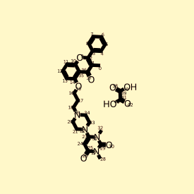 Cc1c(-c2ccccc2)oc2cccc(OCCCN3CCN(c4cc(=O)n(C)c(=O)n4C)CC3)c2c1=O.O=C(O)C(=O)O